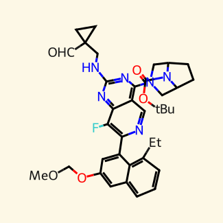 CCc1cccc2cc(OCOC)cc(-c3ncc4c(N5CC6CCC(C5)N6C(=O)OC(C)(C)C)nc(NCC5(C=O)CC5)nc4c3F)c12